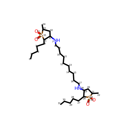 CCCCCC1C(NCCCCCCCCCCNC2CC(C)S(=O)(=O)C2CCCCC)CC(C)S1(=O)=O